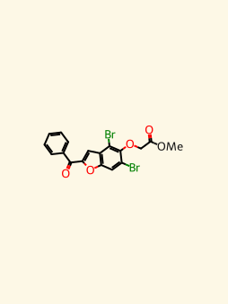 COC(=O)COc1c(Br)cc2oc(C(=O)c3ccccc3)cc2c1Br